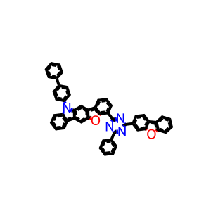 c1ccc(-c2ccc(-n3c4ccccc4c4cc5oc6c(-c7nc(-c8ccccc8)nc(-c8ccc9c(c8)oc8ccccc89)n7)cccc6c5cc43)cc2)cc1